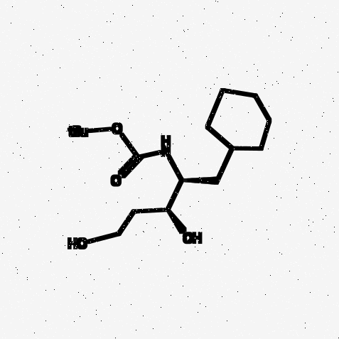 CC(C)(C)OC(=O)N[C@@H](CC1CCCCC1)[C@@H](O)CCO